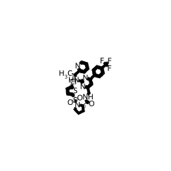 C[C@@H](Nc1nc(CNC(=O)[C@@H]2CCCN2S(=O)(=O)c2ccc(Cl)s2)cc(-c2ccc(C(F)(F)F)cc2)n1)c1ccccn1